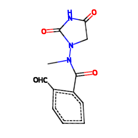 CN(C(=O)c1ccccc1C=O)N1CC(=O)NC1=O